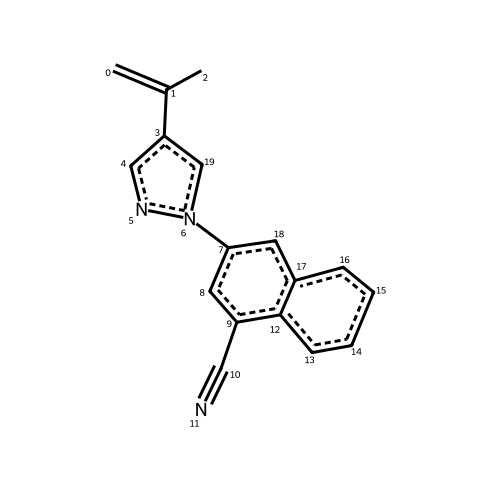 C=C(C)c1cnn(-c2cc(C#N)c3ccccc3c2)c1